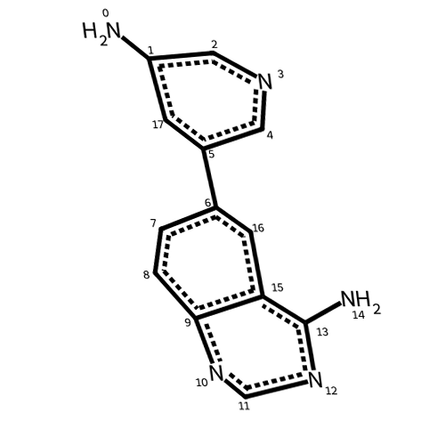 Nc1cncc(-c2ccc3ncnc(N)c3c2)c1